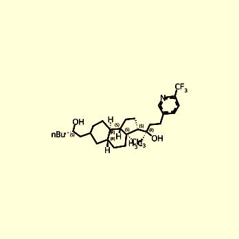 CCCC[C@H](O)CC1CC[C@@H]2[C@H](CC[C@@]3(C)[C@H]2CC[C@@H]3[C@](C)(O)CCc2ccc(C(F)(F)F)nc2)C1